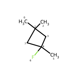 CC1(C)CC(C)(F)C1